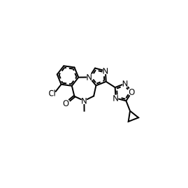 CN1Cc2c(-c3noc(C4CC4)n3)ncn2-c2cccc(Cl)c2C1=O